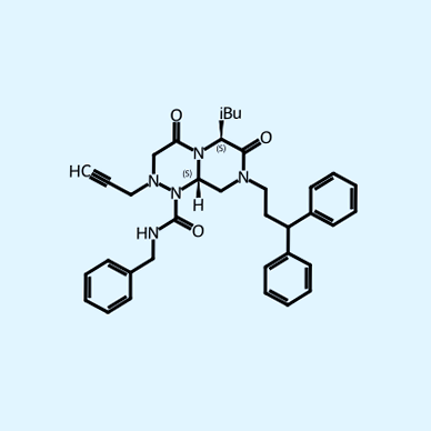 C#CCN1CC(=O)N2[C@@H](C(C)CC)C(=O)N(CCC(c3ccccc3)c3ccccc3)C[C@@H]2N1C(=O)NCc1ccccc1